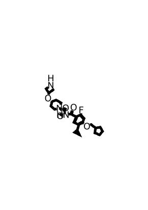 O=C(NS(=O)(=O)N1CCC(OC2CNC2)CC1)c1cc(C2CC2)c(OCC2CCCC2)cc1F